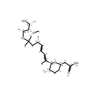 CO[C@@H]([C@@H](C)O)[C@@H](C)OC(C)(C)C[C@H](C)/C=C/C=C(\C)[C@H]1O[C@@H](CC(=O)O)CC[C@@H]1C